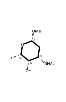 CO[C@@H]1C[C@H](NC(C)=O)[C@H](O)[C@H](C)O1